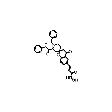 O=C(/C=C/c1ccc2c(c1)C(=O)CC1(CCN(Cc3ccccc3)C(C(=O)Nc3ccccc3)C1)O2)NO